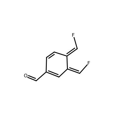 O=Cc1ccc(=C\F)/c(=C\F)c1